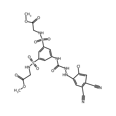 COC(=O)CNS(=O)(=O)c1cc(NC(=O)NNc2cc(C#N)c(C#N)cc2Cl)cc(S(=O)(=O)NCC(=O)OC)c1